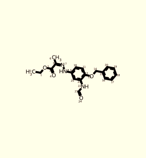 CCOC(=O)C(C)=NNc1ccc(OCc2ccccc2)c(NC=O)c1